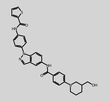 O=C(Nc1ccc2c(cnn2-c2ccc(NC(=O)c3cccs3)cc2)c1)c1ccc(N2CCCC(CO)C2)cc1